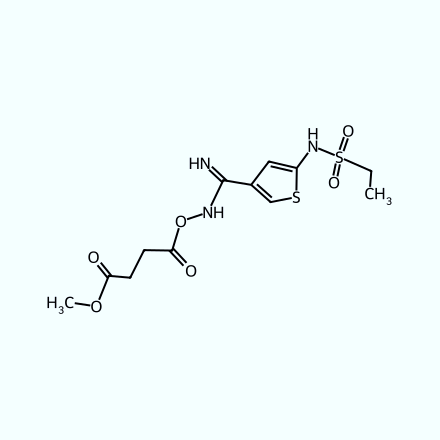 CCS(=O)(=O)Nc1cc(C(=N)NOC(=O)CCC(=O)OC)cs1